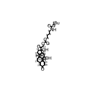 CC(C)(C)OC(=O)NCCCCOC(=O)OCC(=O)[C@@]1(O)CC[C@H]2[C@@H]3CCC4=CC(=O)C=C[C@]4(C)[C@H]3[C@@H](O)C[C@@]21C